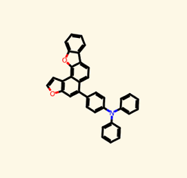 c1ccc(N(c2ccccc2)c2ccc(-c3cc4occc4c4c3ccc3c5ccccc5oc34)cc2)cc1